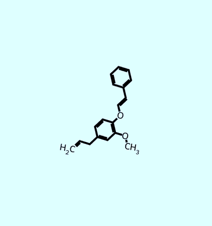 C=CCc1ccc(OC=Cc2ccccc2)c(OC)c1